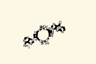 C[P@@]1(=O)OC[C@H]2C[C@@H](n3cnc4c(N)ncnc43)[C@@H]2CO[P@@](=O)(S)OC[C@H]2O[C@@H](n3cnc4c(=O)n5ccnc5[nH]c43)[C@H](O1)[C@@H]2O